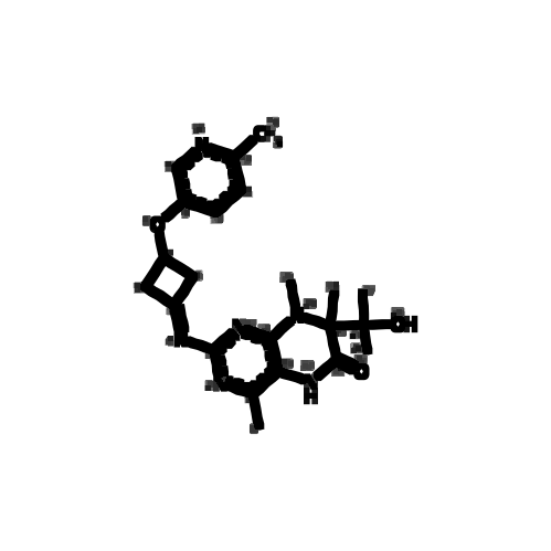 Cc1nc(N=C2CC(Oc3ccc(C(F)(F)F)nc3)C2)nc2c1NC(=O)C(C)(C(C)(C)O)N2C